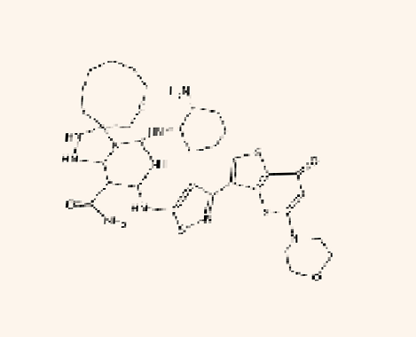 NC(=O)C1C(Nc2cc(-c3csc4c(=O)cc(N5CCOCC5)sc34)ns2)NC(N[C@H]2CCCC[C@H]2N)N2C1NNC21CCCCCCCC1